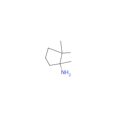 CC1(C)CCCC1(C)N